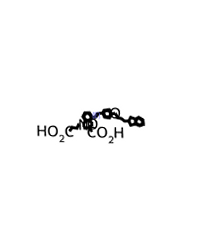 O=C(O)CCCN1CC(C(=O)O)Oc2c(/C=C/c3ccc(OCCCC4Cc5ccccc5C4)cc3)cccc21